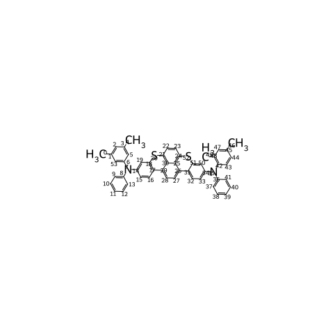 Cc1cc(C)cc(N(c2ccccc2)c2ccc3c(c2)Sc2ccc4c5c(ccc-3c25)-c2ccc(N(c3ccccc3)c3ccc(C)cc3C)cc2S4)c1